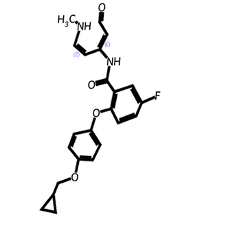 CN/C=C\C(=C/C=O)NC(=O)c1cc(F)ccc1Oc1ccc(OCC2CC2)cc1